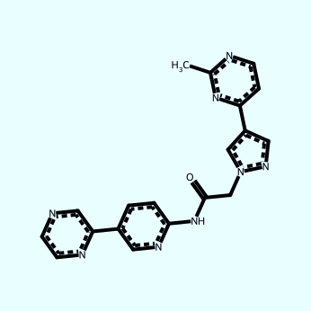 Cc1nccc(-c2cnn(CC(=O)Nc3ccc(-c4cnccn4)cn3)c2)n1